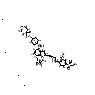 CCS(=O)(=O)c1ccc(NCC#Cc2cc3c(N[C@H]4CC[C@H](N5CC6(CCOCC6)C5)CC4)cccc3n2CC(F)(F)F)c(OC)c1